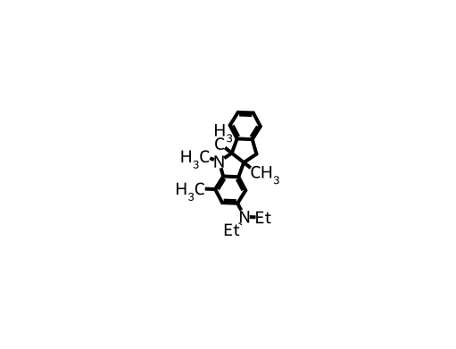 CCN(CC)c1cc(C)c2c(c1)C1(C)Cc3ccccc3C1(C)N2C